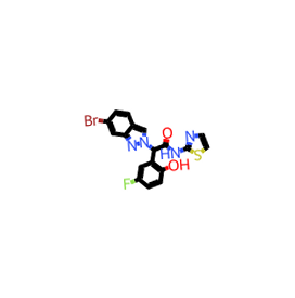 O=C(Nc1nccs1)C(c1cc(F)ccc1O)n1cc2ccc(Br)cc2n1